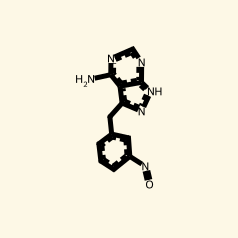 Nc1ncnc2[nH]nc(Cc3cccc(N=O)c3)c12